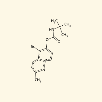 Cc1ccc2c(Br)c(OC(=O)NC(C)(C)C)ccc2n1